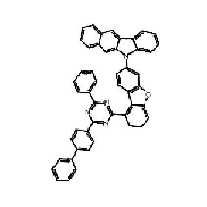 C1=c2oc3cc(-n4c5ccccc5c5cc6ccccc6cc54)ccc3c2=C(c2nc(-c3ccccc3)nc(-c3ccc(-c4ccccc4)cc3)n2)CC1